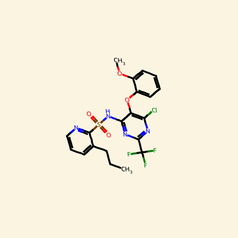 CCCc1cccnc1S(=O)(=O)Nc1nc(C(F)(F)F)nc(Cl)c1Oc1ccccc1OC